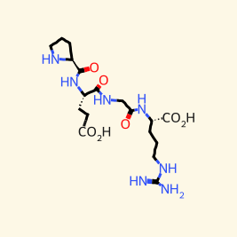 N=C(N)NCCC[C@H](NC(=O)CNC(=O)[C@H](CCC(=O)O)NC(=O)[C@@H]1CCCN1)C(=O)O